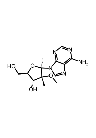 CO[C@]1(C)[C@H](O)[C@@H](CO)O[C@@]1(C)n1cnc2c(N)ncnc21